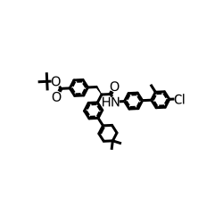 Cc1cc(Cl)ccc1-c1ccc(NC(=O)[C@H](Cc2ccc(C(=O)OC(C)(C)C)cc2)c2cccc(C3=CCC(C)(C)CC3)c2)cc1